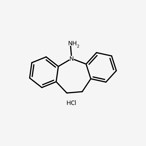 Cl.NN1c2ccccc2CCc2ccccc21